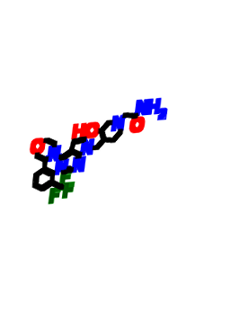 NC(=O)CN1CCC(Cn2ccc3c(N4CCOCC4c4cccc(C(F)(F)F)c4)ncnc32)C(O)C1